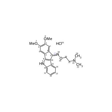 COc1cc2c(cc1OC)-c1[nH]c3ccccc3c1/C2=N\OCCN(C)C.Cl